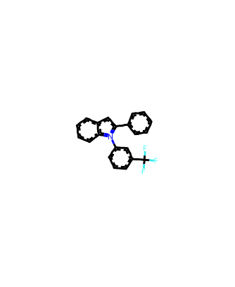 FC(F)(F)c1cccc(-n2c(-c3ccccc3)cc3ccccc32)c1